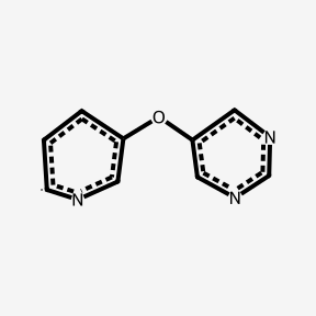 [c]1ccc(Oc2cncnc2)cn1